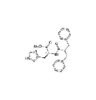 COC(=O)[C@H](Cc1c[nH]cn1)NC(=O)C(Cc1ccccc1)Cc1ccccc1